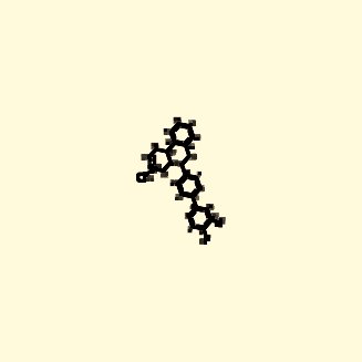 Fc1ccc(-c2ccc(CCc3ccccc3C3CC[SiH](Cl)CC3)cc2)cc1F